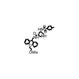 COCCOc1ccccc1C(CNC(=O)[C@@H]1CNC[C@H](NS(=O)(=O)c2ccc(C)cc2)C1)c1ccccc1